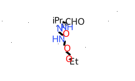 CCOCCOCCNC(=O)CN(C)N[C@H](C=O)C(C)C